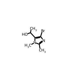 Cc1nc(Br)c(C(C)O)n1C